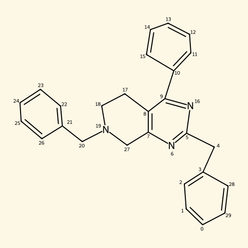 c1ccc(Cc2nc3c(c(-c4ccccc4)n2)CCN(Cc2ccccc2)C3)cc1